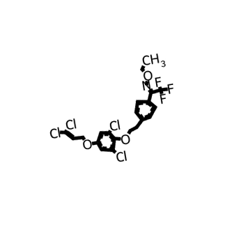 CCON=C(c1ccc(CCOc2c(Cl)cc(OCC=C(Cl)Cl)cc2Cl)cc1)C(F)(F)F